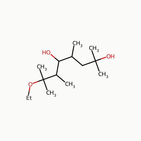 CCOC(C)(C)C(C)C(O)C(C)CC(C)(C)O